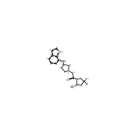 N#CC1CC(F)(F)CN1C(=O)CN1CCC(Nc2cccc3ccoc23)C1